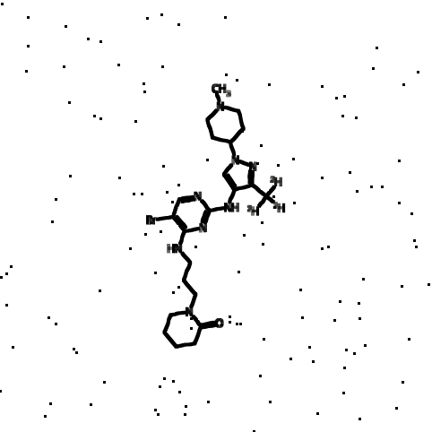 [2H]C([2H])([2H])c1nn(C2CCN(C)CC2)cc1Nc1ncc(Br)c(NCCCN2CCCCC2=O)n1